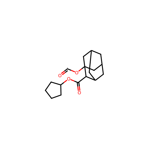 O=[C]OC12CC3CC(CC(C3)C1C(=O)OC1CCCC1)C2